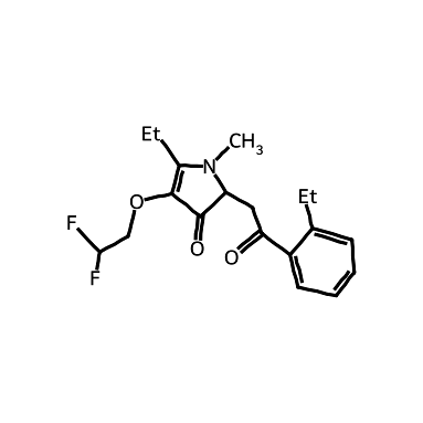 CCC1=C(OCC(F)F)C(=O)C(CC(=O)c2ccccc2CC)N1C